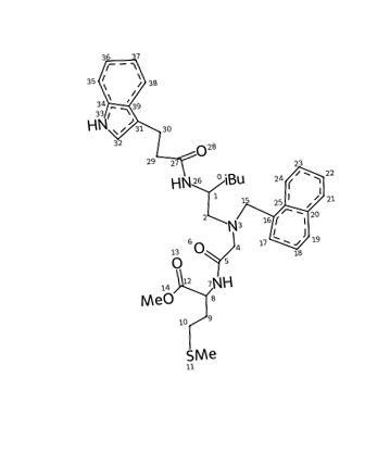 CCC(C)C(CN(CC(=O)NC(CCSC)C(=O)OC)Cc1cccc2ccccc12)NC(=O)CCc1c[nH]c2ccccc12